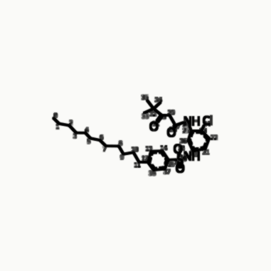 CCCCCCCCCCCCc1ccc(S(=O)(=O)Nc2ccc(Cl)c(NC(=O)CC(=O)C(C)(C)C)c2)cc1